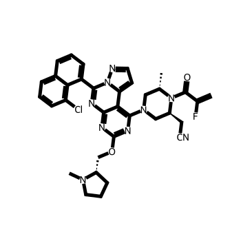 C=C(F)C(=O)N1[C@@H](CC#N)CN(c2nc(OC[C@@H]3CCCN3C)nc3nc(-c4cccc5cccc(Cl)c45)n4nccc4c23)C[C@@H]1C